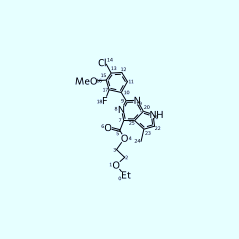 CCOCCOC(=O)c1nc(-c2ccc(Cl)c(OC)c2F)nc2[nH]cc(C)c12